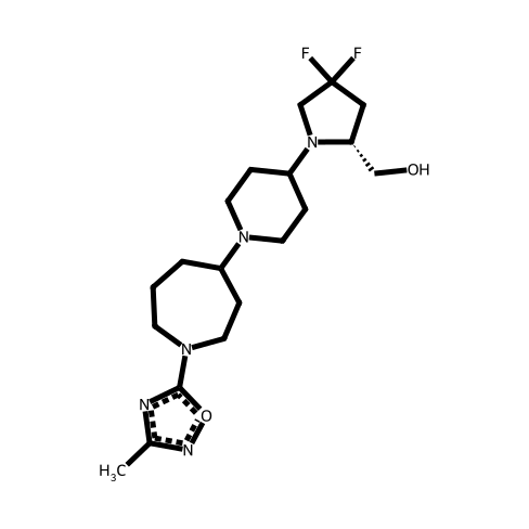 Cc1noc(N2CCCC(N3CCC(N4CC(F)(F)C[C@@H]4CO)CC3)CC2)n1